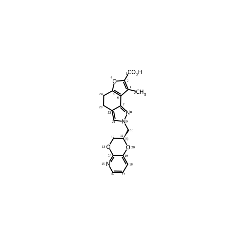 Cc1c(C(=O)O)oc2c1-c1nn(C[C@@H]3COc4ncccc4O3)cc1CC2